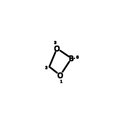 [B]1OCO1